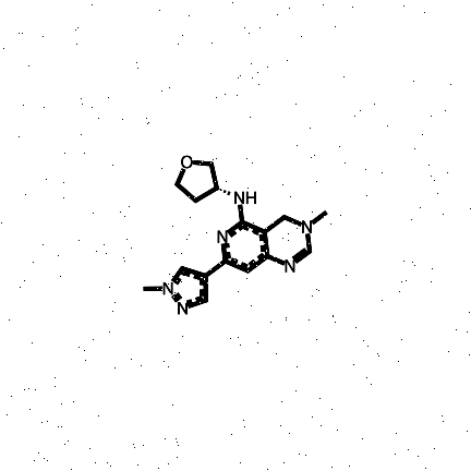 CN1C=Nc2cc(-c3cnn(C)c3)nc(N[C@@H]3CCOC3)c2C1